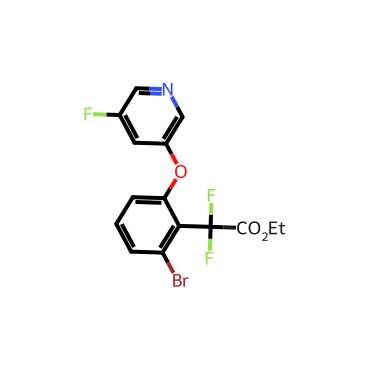 CCOC(=O)C(F)(F)c1c(Br)cccc1Oc1cncc(F)c1